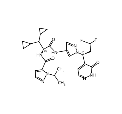 CC(C)n1nccc1C(=O)N[C@H](C(=O)Nc1cnn([C@@H](CC(F)F)c2ccn[nH]c2=O)c1)C(C1CC1)C1CC1